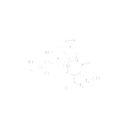 CC(C)[Si](OCC(C)(C)S(=O)(=O)C1(CN2CCc3c(C=O)nn(C)c3C2=O)CC1)(C(C)C)C(C)C